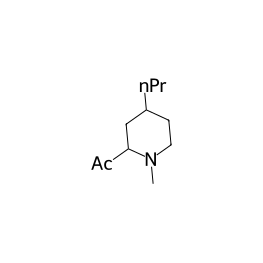 CCCC1CCN(C)C(C(C)=O)C1